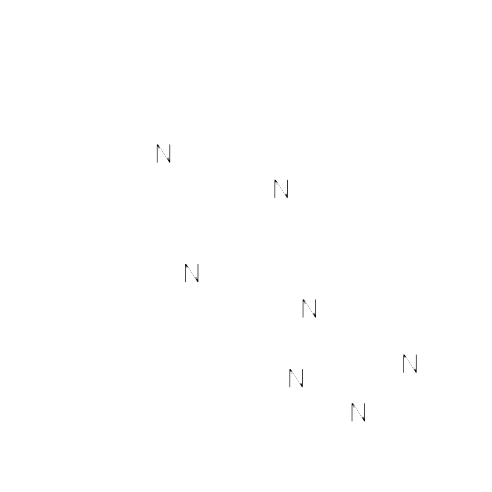 Cc1nc(C)nc(-n2cnnn2)n1